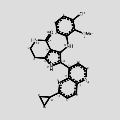 COc1c(Cl)cccc1Nc1c(-c2ccnc3ccc(C4CC4)nc23)[nH]c2c1C(=O)NCC2